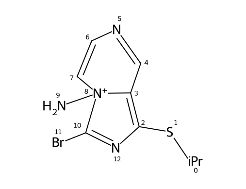 CC(C)SC1=C2C=NC=C[N+]2(N)C(Br)=N1